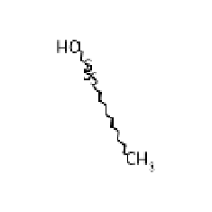 CCCCCCCCCCCCSSSCCO